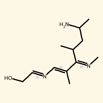 C/N=C(/C(C)=C/N=C/CO)C(C)CC(C)N